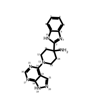 NC1(c2nc3ccccc3[nH]2)CCN(c2ncnc3[nH]ncc23)CC1